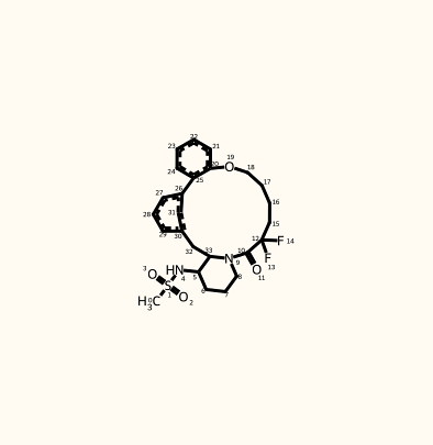 CS(=O)(=O)NC1CCCN2C(=O)C(F)(F)CCCCOc3ccccc3-c3cccc(c3)CC12